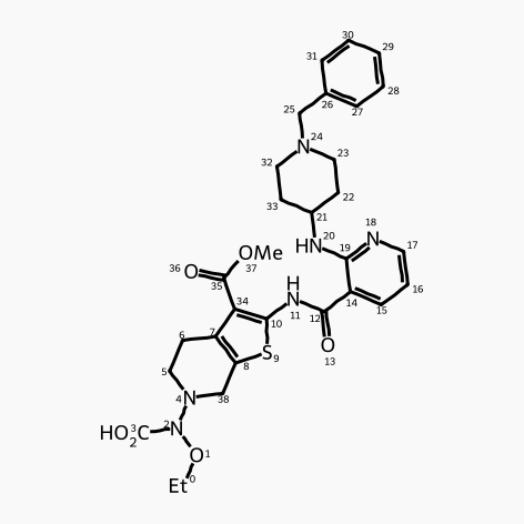 CCON(C(=O)O)N1CCc2c(sc(NC(=O)c3cccnc3NC3CCN(Cc4ccccc4)CC3)c2C(=O)OC)C1